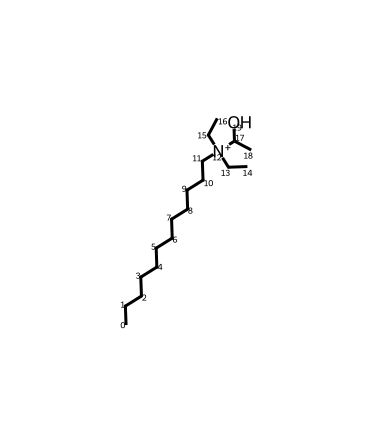 CCCCCCCCCCCC[N+](CC)(CC)C(C)O